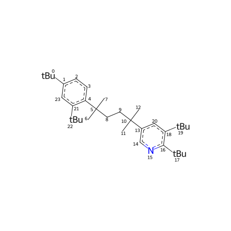 CC(C)(C)c1ccc(C(C)(C)CCC(C)(C)c2cnc(C(C)(C)C)c(C(C)(C)C)c2)c(C(C)(C)C)c1